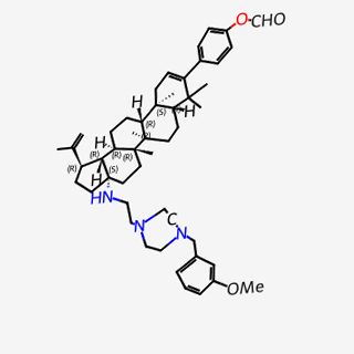 C=C(C)[C@@H]1CC[C@]2(NCCN3CCN(Cc4cccc(OC)c4)CC3)CC[C@]3(C)[C@H](CC[C@@H]4[C@@]5(C)CC=C(c6ccc(OC=O)cc6)C(C)(C)[C@@H]5CC[C@]43C)[C@@H]12